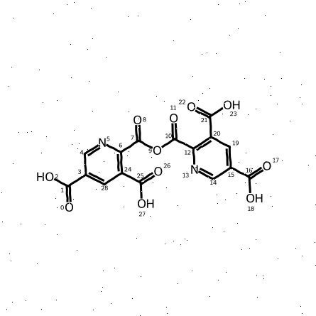 O=C(O)c1cnc(C(=O)OC(=O)c2ncc(C(=O)O)cc2C(=O)O)c(C(=O)O)c1